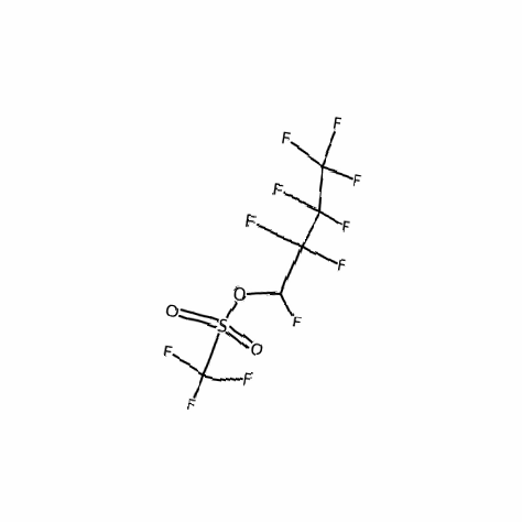 O=S(=O)(OC(F)C(F)(F)C(F)(F)C(F)(F)F)C(F)(F)F